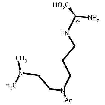 CC(=O)N(CCCN[C@H](N)C(=O)O)CCN(C)C